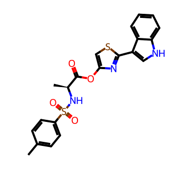 Cc1ccc(S(=O)(=O)N[C@@H](C)C(=O)Oc2csc(-c3c[nH]c4ccccc34)n2)cc1